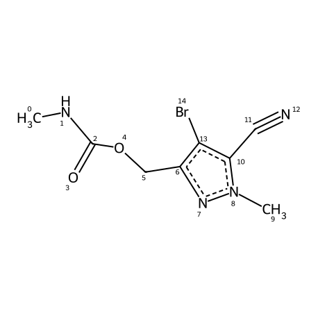 CNC(=O)OCc1nn(C)c(C#N)c1Br